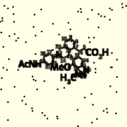 COc1cc(C(CC(=O)O)c2cccc3c2CCN(c2ccc(NC(C)=O)cc2)C3)cc2nnn(C)c12